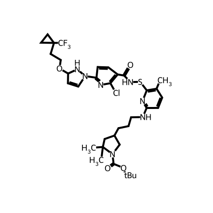 Cc1ccc(NCCCC2CN(C(=O)OC(C)(C)C)C(C)(C)C2)nc1SNC(=O)c1ccc(N2C=CC(OCCC3(C(F)(F)F)CC3)N2)nc1Cl